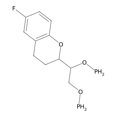 Fc1ccc2c(c1)CCC(C(COP)OP)O2